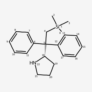 C[Si](C)(C)CC(c1ccccc1)(c1ccccc1)[C@@H]1CCCN1